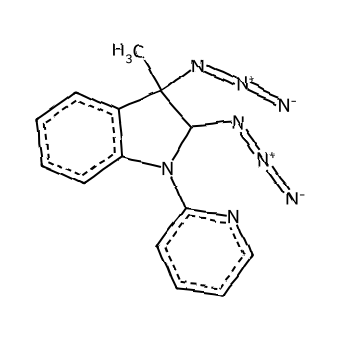 CC1(N=[N+]=[N-])c2ccccc2N(c2ccccn2)C1N=[N+]=[N-]